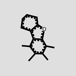 Cc1c(C)c(C)c2c(oc3ccccc32)c1C